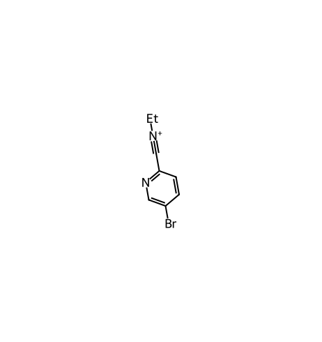 CC[N+]#Cc1ccc(Br)cn1